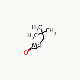 CC(C)(C)[CH2][Mg][CH2]C=O